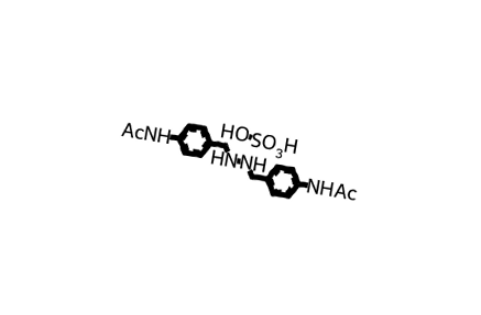 CC(=O)Nc1ccc(CNNCc2ccc(NC(C)=O)cc2)cc1.O=S(=O)(O)O